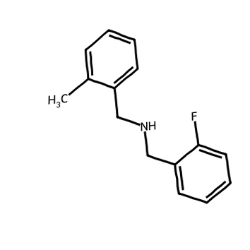 Cc1ccccc1CNCc1ccccc1F